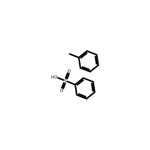 Cc1ccccc1.O=S(=O)(O)c1ccccc1